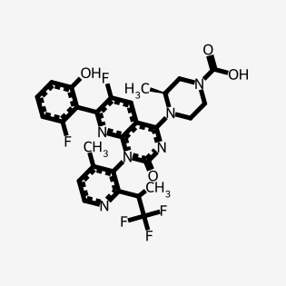 Cc1ccnc(C(C)C(F)(F)F)c1-n1c(=O)nc(N2CCN(C(=O)O)C[C@@H]2C)c2cc(F)c(-c3c(O)cccc3F)nc21